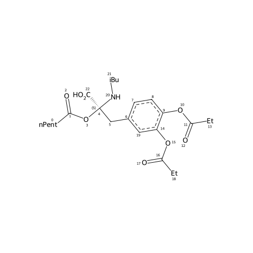 CCCCCC(=O)O[C@](Cc1ccc(OC(=O)CC)c(OC(=O)CC)c1)(NC(C)CC)C(=O)O